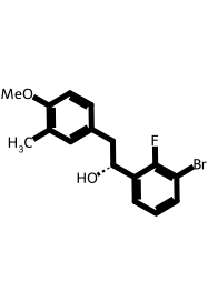 COc1ccc(C[C@@H](O)c2cccc(Br)c2F)cc1C